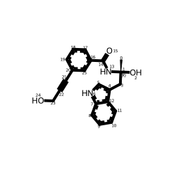 C[C@@](O)(Cc1c[nH]c2ccccc12)NC(=O)c1cccc(C#CCO)c1